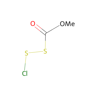 COC(=O)SSCl